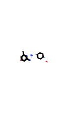 CCc1cc(Br)cc2cnc(N[C@H]3CC[C@H](NC(=O)O)CC3)nc12